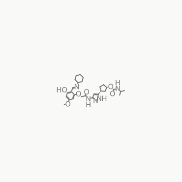 COc1cc(O)c(/C=N/C2CCCCC2)c(OCC(=O)Nc2cc([C@H]3CC[C@@H](OC(=O)NC(C)C)C3)[nH]n2)c1